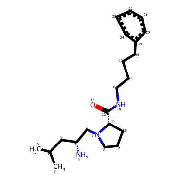 CC(C)C[C@@H](N)CN1CCC[C@H]1C(=O)NCCCCc1ccccc1